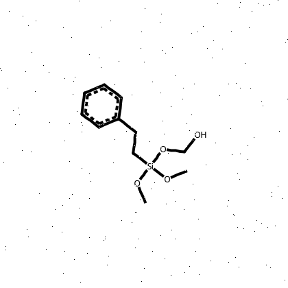 CO[Si](CCc1ccccc1)(OC)OCO